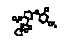 O=C(N=S1(=O)CCCC1)c1cc(Oc2ccc(C(F)(F)F)cc2Cl)ccc1[N+](=O)[O-]